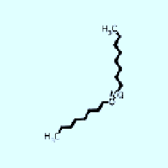 CCCCCCCC[O][Mg][CH2]CCCCCCC